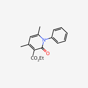 CCOC(=O)c1c(C)cc(C)n(-c2ccccc2)c1=O